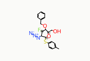 Cc1ccc(S[C@@H]2O[C@H](CO)C(OCc3ccccc3)[C@H](F)C2N=[N+]=[N-])cc1